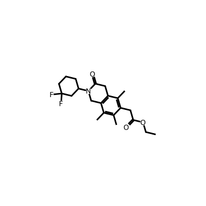 CCOC(=O)Cc1c(C)c(C)c2c(c1C)CC(=O)N(C1CCCC(F)(F)C1)C2